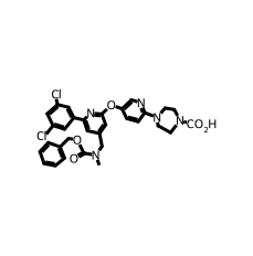 CN(Cc1cc(Oc2ccc(N3CCN(C(=O)O)CC3)nc2)nc(-c2cc(Cl)cc(Cl)c2)c1)C(=O)OCc1ccccc1